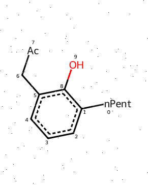 CCCCCc1cccc(CC(C)=O)c1O